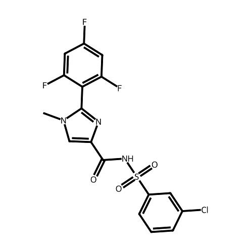 Cn1cc(C(=O)NS(=O)(=O)c2cccc(Cl)c2)nc1-c1c(F)cc(F)cc1F